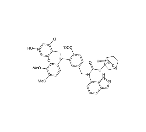 COc1ccc([C@H](Cc2c(Cl)c[n+](O)cc2Cl)c2cc(CN(C(=O)O[C@H]3CN4CCC3CC4)c3cccc4cn[nH]c34)ccc2C(=O)[O-])cc1OC